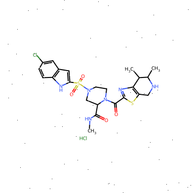 CNC(=O)C1CN(S(=O)(=O)c2cc3cc(Cl)ccc3[nH]2)CCN1C(=O)c1nc2c(s1)CNC(C)C2C.Cl